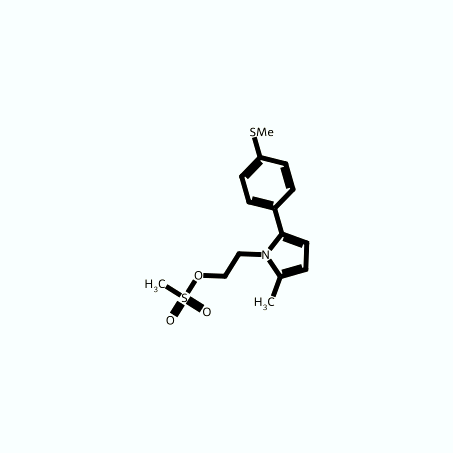 CSc1ccc(-c2ccc(C)n2CCOS(C)(=O)=O)cc1